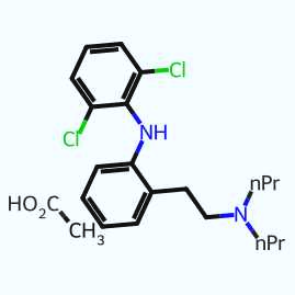 CC(=O)O.CCCN(CCC)CCc1ccccc1Nc1c(Cl)cccc1Cl